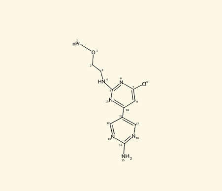 CCCOCCNc1nc(Cl)cc(-c2cnc(N)nc2)n1